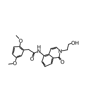 COc1ccc(OC)c(CC(=O)Nc2cccc3c(=O)n(CCO)ccc23)c1